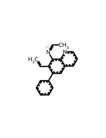 C=Cc1c(-c2ccccc2)cc2cccnc2c1/N=C\C